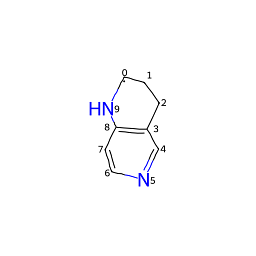 [CH]1CCc2cnccc2N1